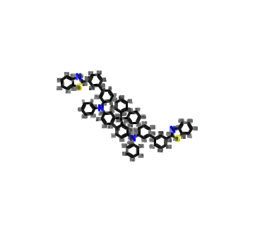 c1ccc(N(c2cccc(-c3cccc(-c4nc5ccccc5s4)c3)c2)c2ccc3c(c2)C(c2ccccc2)(c2ccccc2)c2cc(N(c4ccccc4)c4cccc(-c5cccc(-c6nc7ccccc7s6)c5)c4)ccc2-3)cc1